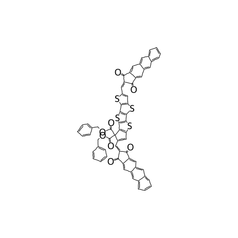 O=C1C(=CC2=Cc3sc4c(sc5c6sc(C=C7C(=O)c8cc9cc%10ccccc%10cc9cc8C7=O)cc6sc45)c3C2(C(=O)OCc2ccccc2)C(=O)OCc2ccccc2)C(=O)c2cc3cc4ccccc4cc3cc21